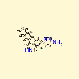 Nc1ccc(-c2ccc3c(c2F)CNCC=C3c2ccc3ccccc3c2)nn1